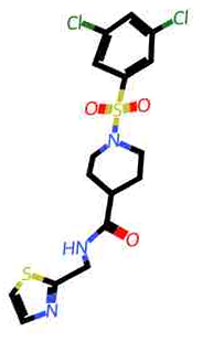 O=C(NCc1nccs1)C1CCN(S(=O)(=O)c2cc(Cl)cc(Cl)c2)CC1